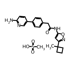 CC1(c2cc(NC(=O)Cc3ccc(-c4ccc(N)nc4)cc3)on2)CCC1.CS(=O)(=O)O